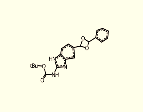 CC(C)(C)OC(=O)Nc1nc2cc(C3OC(c4ccccc4)O3)ccc2[nH]1